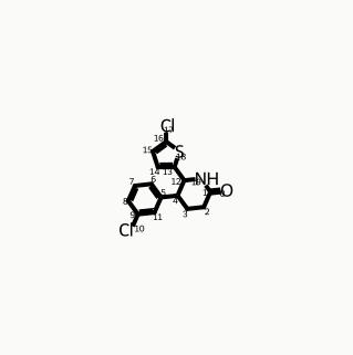 O=C1CCC(c2cccc(Cl)c2)C(c2ccc(Cl)s2)N1